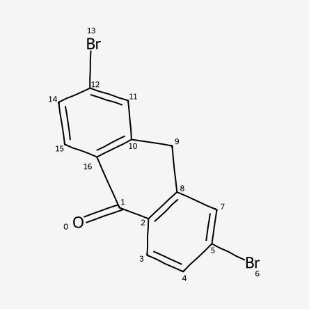 O=C1c2ccc(Br)cc2Cc2cc(Br)ccc21